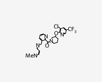 CN/C=C\C=N/Cc1cccnc1C(=O)N1CCCC(Oc2ncc(C(F)(F)F)cc2Cl)C1